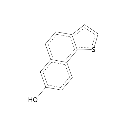 Oc1ccc2c(ccc3ccsc32)c1